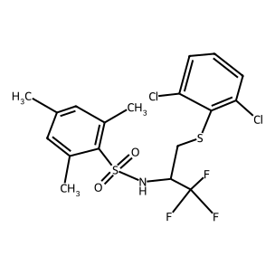 Cc1cc(C)c(S(=O)(=O)NC(CSc2c(Cl)cccc2Cl)C(F)(F)F)c(C)c1